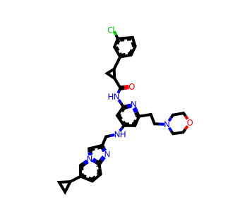 O=C(Nc1cc(NCc2cn3cc(C4CC4)ccc3n2)cc(CCN2CCOCC2)n1)C1CC1c1cccc(Cl)c1